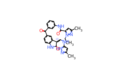 CCn1nc(C)cc1C(=O)Nc1cccc(C(=O)c2ccc3c(c2)/C(=C/Nc2cc(C)n[nH]2)C(=O)N3)c1